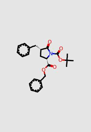 CC(C)(C)OC(=O)N1C(=O)[C@@H](Cc2ccccc2)C[C@H]1C(=O)OCc1ccccc1